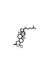 C=C(Cl)C[C@@H]1C(C=O)CC[C@@]2(C)C1CC[C@H]1[C@@H]3CC[C@H]([C@H](C)CCCC(C)C)[C@@]3(C)CC[C@@H]12